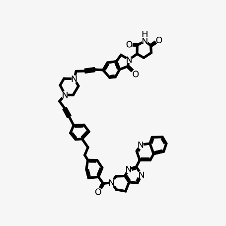 O=C1CCC(N2Cc3cc(C#CCN4CCN(CC#Cc5ccc(CCc6ccc(C(=O)N7CCc8cnc(-c9cnc%10ccccc%10c9)nc8C7)cc6)cc5)CC4)ccc3C2=O)C(=O)N1